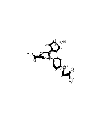 Cl.NC(=O)C1=NN([C@H]2CC[C@H](OCC(=O)O)CC2)C(C2CCNCC2)S1